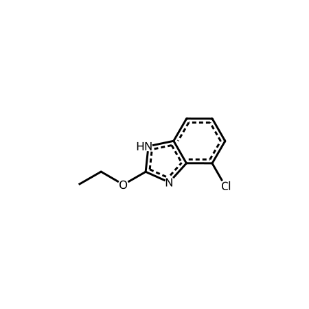 CCOc1nc2c(Cl)cccc2[nH]1